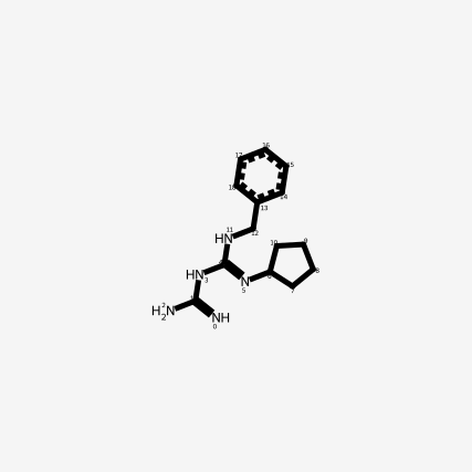 N=C(N)NC(=NC1CCCC1)NCc1ccccc1